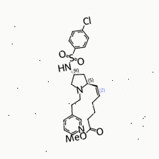 COC(=O)CCC/C=C\[C@@H]1C[C@@H](NS(=O)(=O)c2ccc(Cl)cc2)CN1CCc1cccnc1